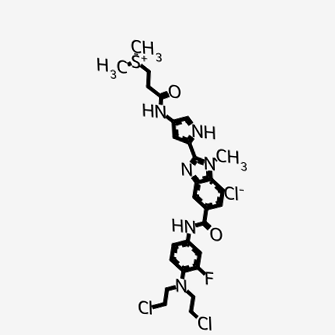 Cn1c(-c2cc(NC(=O)CC[S+](C)C)c[nH]2)nc2cc(C(=O)Nc3ccc(N(CCCl)CCCl)c(F)c3)ccc21.[Cl-]